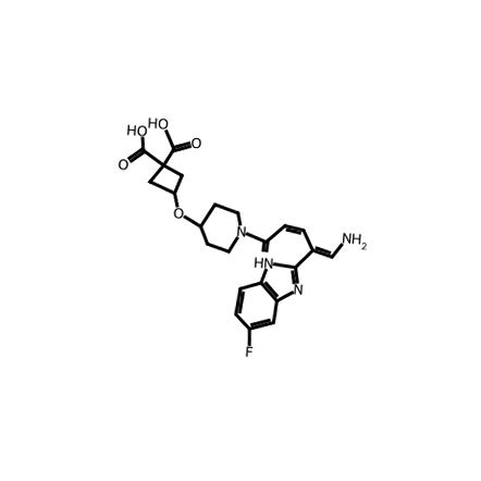 C=C(/C=C\C(=C/N)c1nc2cc(F)ccc2[nH]1)N1CCC(OC2CC(C(=O)O)(C(=O)O)C2)CC1